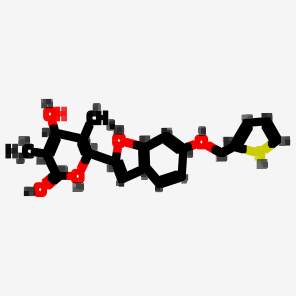 Cc1c(-c2cc3ccc(OCc4cccs4)cc3o2)oc(=O)c(C)c1O